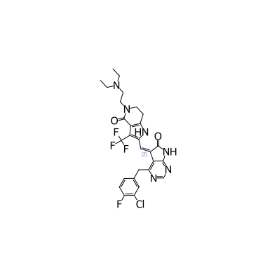 CCN(CC)CCN1CCc2[nH]c(/C=C3\C(=O)Nc4ncnc(Cc5ccc(F)c(Cl)c5)c43)c(C(F)(F)F)c2C1=O